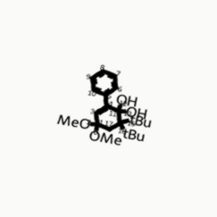 COC1(OC)C=C(c2ccccc2)C(O)(O)C(C(C)(C)C)(C(C)(C)C)C1